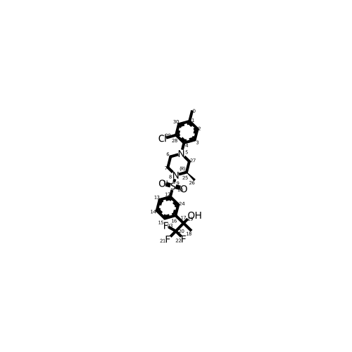 Cc1ccc(N2CCN(S(=O)(=O)c3cccc(C(C)(O)C(F)(F)F)c3)[C@H](C)C2)c(Cl)c1